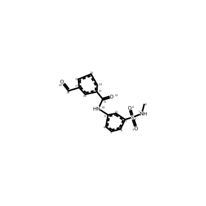 CNS(=O)(=O)c1cccc(NC(=O)c2cccc(C=O)c2)c1